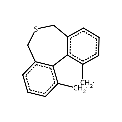 [CH2]c1cccc2c1-c1c([CH2])cccc1CSC2